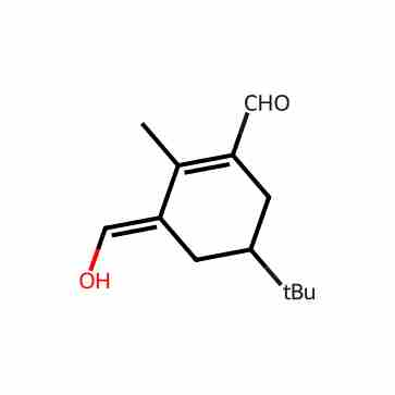 CC1=C(C=O)CC(C(C)(C)C)C/C1=C\O